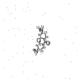 CN(C)C1=CC2Oc3cc(N(C)C)ccc3C(=O)C2C=C1